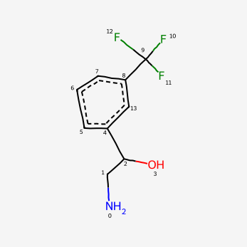 NCC(O)c1cccc(C(F)(F)F)c1